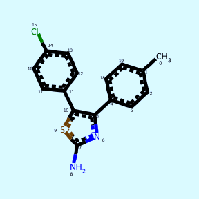 Cc1ccc(-c2nc(N)sc2-c2ccc(Cl)cc2)cc1